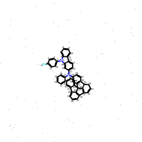 Fc1ccc(-n2c3ccccc3c3ccc(N(c4ccccc4)c4ccc5c(c4)C46C7=C(C=CCC75)c5cccc(c54)-c4ccccc46)cc32)cc1